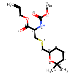 C=CCOC(=O)[C@H](CSCC1CCCC(C)(C)O1)NC(=O)OC(C)(C)C